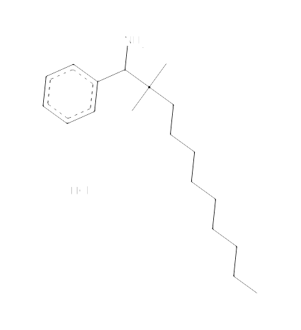 CCCCCCCCCC(C)(C)C(N)c1ccccc1.Cl